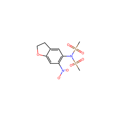 CS(=O)(=O)N(c1cc2c(cc1[N+](=O)[O-])OCC2)S(C)(=O)=O